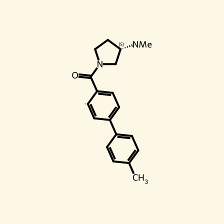 CN[C@H]1CCN(C(=O)c2[c]cc(-c3ccc(C)cc3)cc2)C1